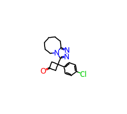 O=C1CC(c2ccc(Cl)cc2)(c2nnc3n2CCCCCC3)C1